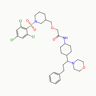 O=C(COCC1CCCN(S(=O)(=O)c2c(Cl)cc(Cl)cc2Cl)C1)NC1CCC(C(CCc2ccccc2)N2CCOCC2)CC1